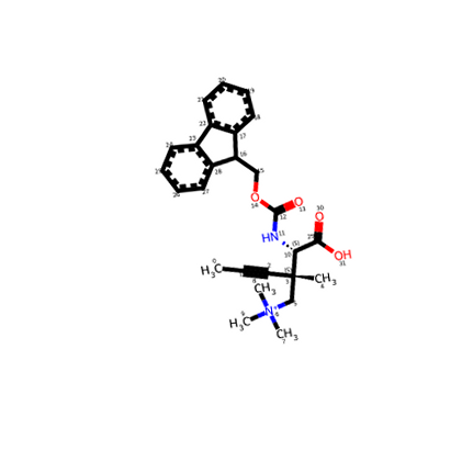 CC#C[C@@](C)(C[N+](C)(C)C)[C@H](NC(=O)OCC1c2ccccc2-c2ccccc21)C(=O)O